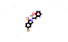 O=C1c2ccc(Br)cc2CN1[C@H](CO)Cc1ccccc1